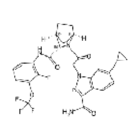 NC(=O)c1nn(CC(=O)N2[C@@H]3CC[C@@H](C3)[C@H]2C(=O)Nc2cccc(OC(F)(F)F)c2F)c2cc(C3CC3)ccc12